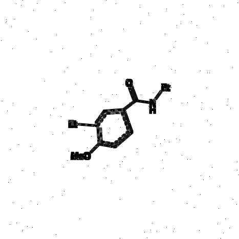 CCNC(=O)c1ccc(OC)c(CC)c1